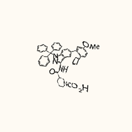 COc1ccc(Cl)c(-c2ccc3c(c2)c(NC(=O)C2CCCN(C(=O)O)C2)nn3C(c2ccccc2)(c2ccccc2)c2ccccc2)c1